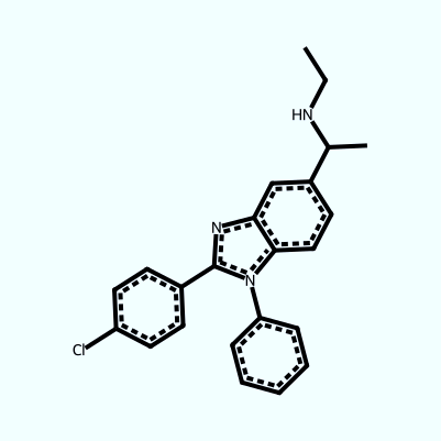 CCNC(C)c1ccc2c(c1)nc(-c1ccc(Cl)cc1)n2-c1ccccc1